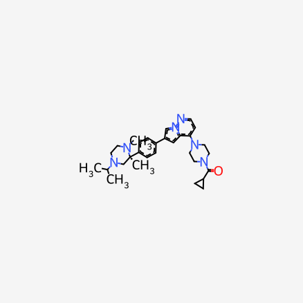 CC(C)N1CCN(C)[C@](C)(c2ccc(-c3cc4c(N5CCN(C(=O)C6CC6)CC5)ccnn4c3)cc2)C1